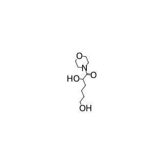 O=C(C(O)CCCCO)N1CCOCC1